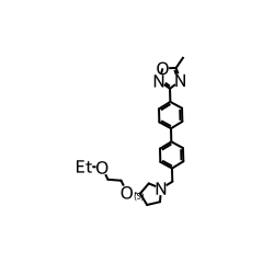 CCOCCO[C@H]1CCN(Cc2ccc(-c3ccc(-c4noc(C)n4)cc3)cc2)C1